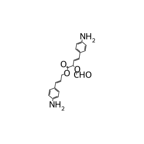 Nc1ccc(/C=C/COC(=O)C(/C=C/c2ccc(N)cc2)OC=O)cc1